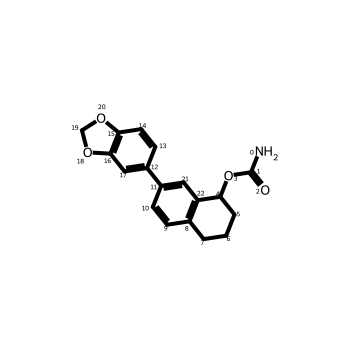 NC(=O)OC1CCCc2ccc(-c3ccc4c(c3)OCO4)cc21